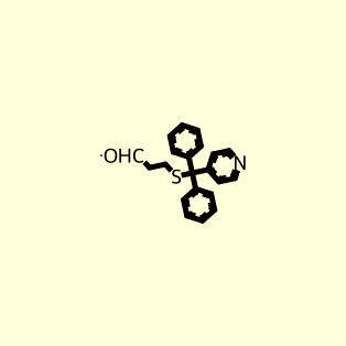 O=[C]CCSC(c1ccccc1)(c1ccccc1)c1ccncc1